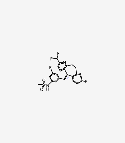 CS(=O)(=O)Nc1cc(F)cc(/C=C2/c3ccc(F)cc3CCc3nc(C(F)F)ccc32)c1